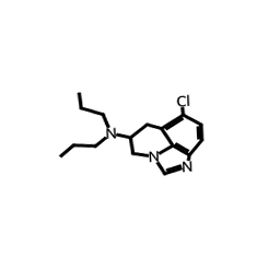 CCCN(CCC)C1Cc2c(Cl)ccc3ncn(c23)C1